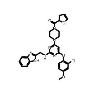 COc1ccc(Oc2cc(N3CCN(C(=O)C4CC=CO4)CC3)nc(NCc3nc4ccccc4[nH]3)n2)c(Cl)c1